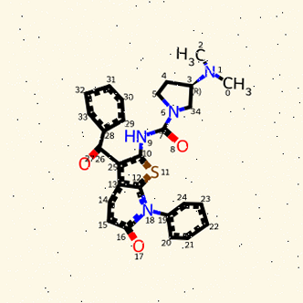 CN(C)[C@@H]1CCN(C(=O)Nc2sc3c(ccc(=O)n3-c3ccccc3)c2C(=O)c2ccccc2)C1